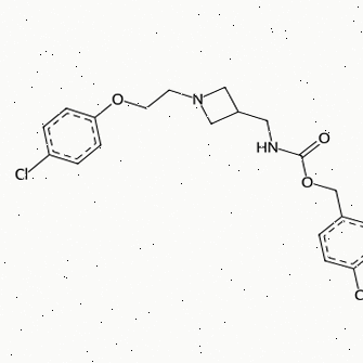 O=C(NCC1CN(CCOc2ccc(Cl)cc2)C1)OCc1ccc(Cl)cc1